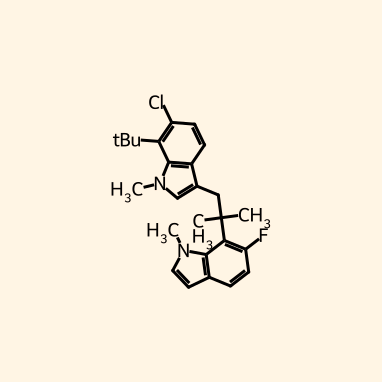 Cn1ccc2ccc(F)c(C(C)(C)Cc3cn(C)c4c(C(C)(C)C)c(Cl)ccc34)c21